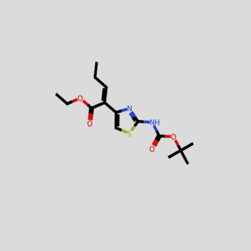 CCC=C(C(=O)OCC)c1csc(NC(=O)OC(C)(C)C)n1